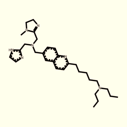 CCCN(CCC)CCCCCc1ccc2cc(CN(CC3=NCCN3C)Cc3ncc[nH]3)ccc2n1